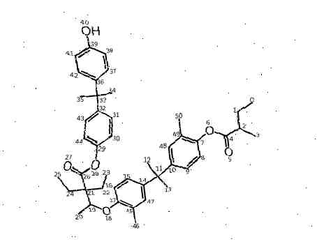 CCC(C)C(=O)Oc1ccc(C(C)(C)c2ccc(OC(C)C(CC)(CC)C(=O)Oc3ccc(C(C)(C)c4ccc(O)cc4)cc3)c(C)c2)cc1C